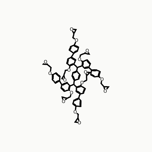 c1cc(-c2ccc(OCC3CO3)c(C(c3ccc(C(c4cc(-c5ccc(OCC6CO6)cc5)ccc4OCC4CO4)c4cc(-c5ccc(OCC6CO6)cc5)ccc4OCC4CO4)cc3)c3cc(-c4ccc(OCC5CO5)cc4)ccc3OCC3CO3)c2)ccc1OCC1CO1